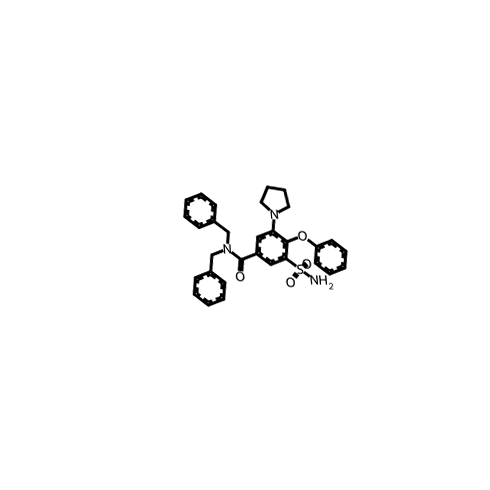 NS(=O)(=O)c1cc(C(=O)N(Cc2ccccc2)Cc2ccccc2)cc(N2CCCC2)c1Oc1ccccc1